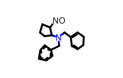 O=NC1CCCC1N(CC1=CCCC=C1)Cc1ccccc1